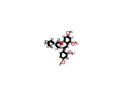 COc1ccc(/C(=C/c2c(OC)cc(OC)cc2OC)[c-]2cccc2)c(OC)c1.[Fe+2].c1cc[cH-]c1